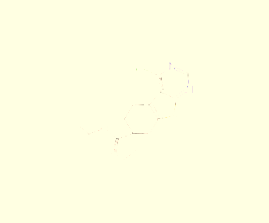 CCOC(=O)[C@@]1(CC)CCc2c(sc3ncnc(Cl)c23)C1